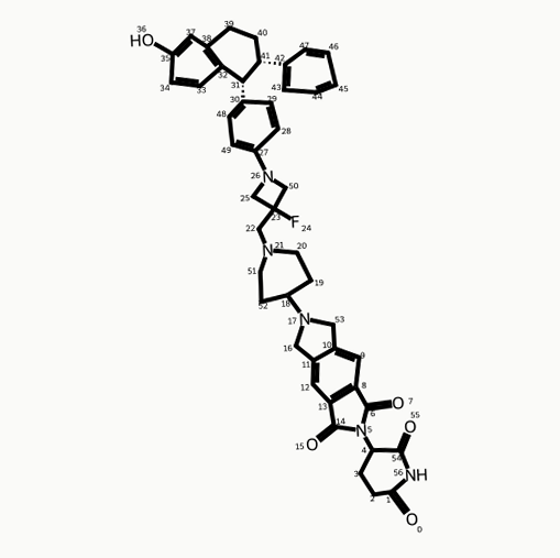 O=C1CCC(N2C(=O)c3cc4c(cc3C2=O)CN(C2CCN(CC3(F)CN(c5ccc([C@@H]6c7ccc(O)cc7CC[C@@H]6c6ccccc6)cc5)C3)CC2)C4)C(=O)N1